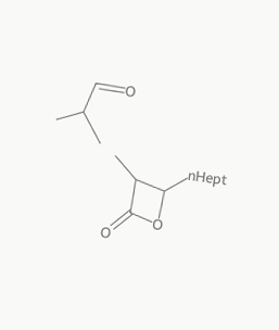 CC(C)C=O.CCCCCCCC1OC(=O)C1C